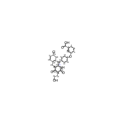 O=C(O)c1cccc(Oc2ccc(/N=c3\[nH]c(=O)n(CCO)c(=O)n3CC3=CCC(Cl)C=C3)cc2)n1